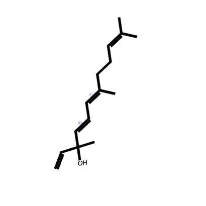 C=CC(C)(O)/C=C/C=C(\C)CCC=C(C)C